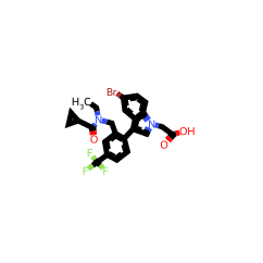 CCN(Cc1cc(C(F)(F)F)ccc1-c1cn(CC(=O)O)c2ccc(Br)cc12)C(=O)C1CC1